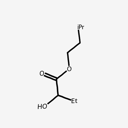 CCC(O)C(=O)OCCC(C)C